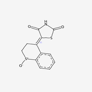 O=C1NC(=O)/C(=C2\CC[S+]([O-])c3ccccc32)S1